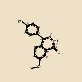 COc1ccc2c(-c3ccc(Br)cc3)n[nH]c(=O)c2c1